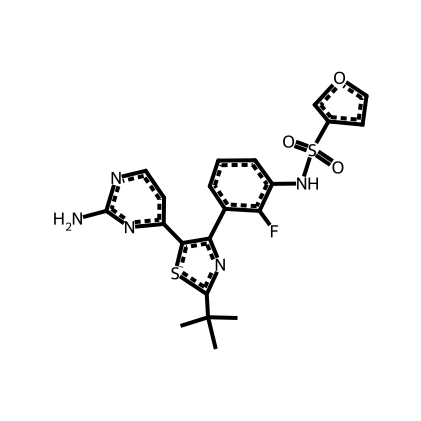 CC(C)(C)c1nc(-c2cccc(NS(=O)(=O)c3ccoc3)c2F)c(-c2ccnc(N)n2)s1